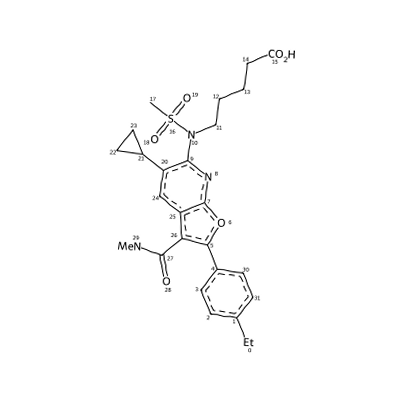 CCc1ccc(-c2oc3nc(N(CCCCC(=O)O)S(C)(=O)=O)c(C4CC4)cc3c2C(=O)NC)cc1